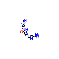 Cc1cc(C(=O)NCc2ccc(-n3ccnc3)nc2)cnc1N1CCc2ncc(-c3cn(C)nc3C)cc2C1